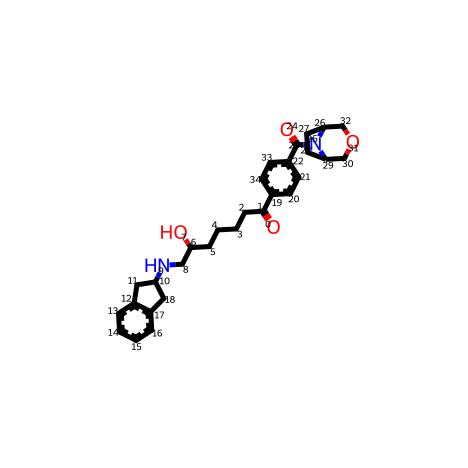 O=C(CCCCC(O)CNC1Cc2ccccc2C1)c1ccc(C(=O)N2C3CCC2COC3)cc1